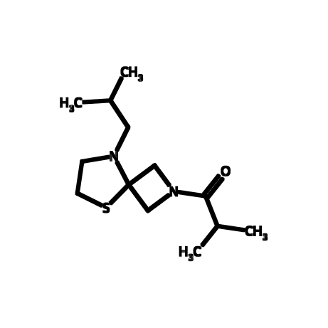 CC(C)CN1CCSC12CN(C(=O)C(C)C)C2